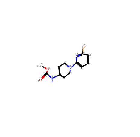 CC(C)(C)OC(=O)NC1CCN(c2cccc(Br)n2)CC1